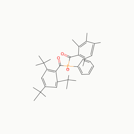 Cc1cc(C)c(C(=O)P(=O)(C(=O)c2c(C(C)(C)C)cc(C(C)(C)C)cc2C(C)(C)C)c2ccccc2)c(C)c1C